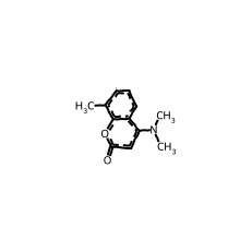 Cc1[c]ccc2c(N(C)C)cc(=O)oc12